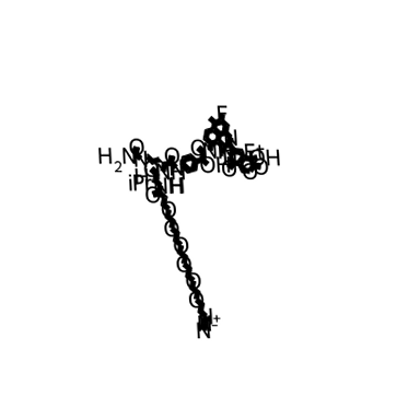 CC[C@@]1(O)C(=O)OCc2c1cc1n(c2=O)Cc2c-1nc1cc(F)c(C)c3c1c2C(NC(=O)C(O)c1ccc(NC(=O)[C@H](CCCNC(N)=O)NC(=O)[C@@H](NC(=O)CCOCCOCCOCCOCCOCCOCCN=[N+]=[N-])C(C)C)cc1)CC3